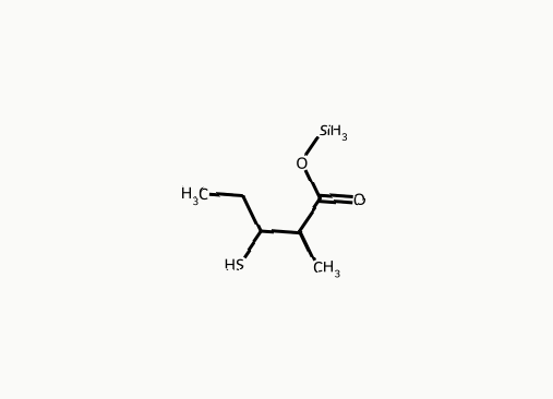 CCC(S)C(C)C(=O)O[SiH3]